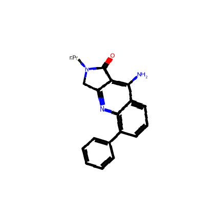 CCCN1Cc2nc3c(-c4ccccc4)cccc3c(N)c2C1=O